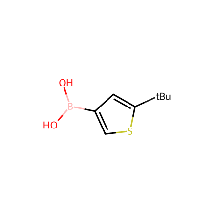 CC(C)(C)c1cc(B(O)O)cs1